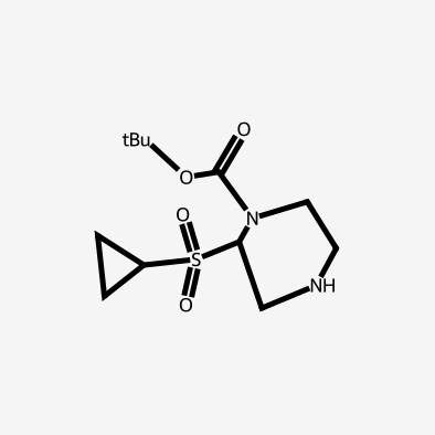 CC(C)(C)OC(=O)N1CCNCC1S(=O)(=O)C1CC1